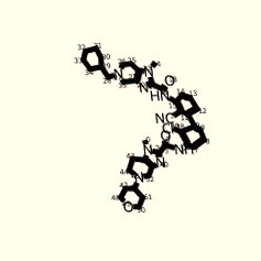 Cn1c(C(=O)Nc2cccc(-c3cccc(NC(=O)c4nc5c(n4C)CCN(CC4CCCCC4)C5)c3C#N)c2Cl)nc2c1CCN(C1CCOCC1)C2